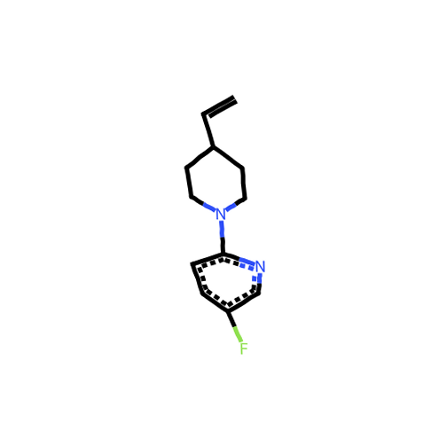 C=CC1CCN(c2ccc(F)cn2)CC1